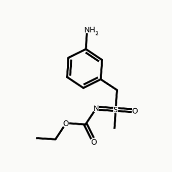 CCOC(=O)N=S(C)(=O)Cc1cccc(N)c1